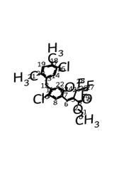 CCOC(=O)C1=Cc2cc(Cl)c(Cc3cc(Cl)c(C)cc3C)cc2OC1C(F)(F)F